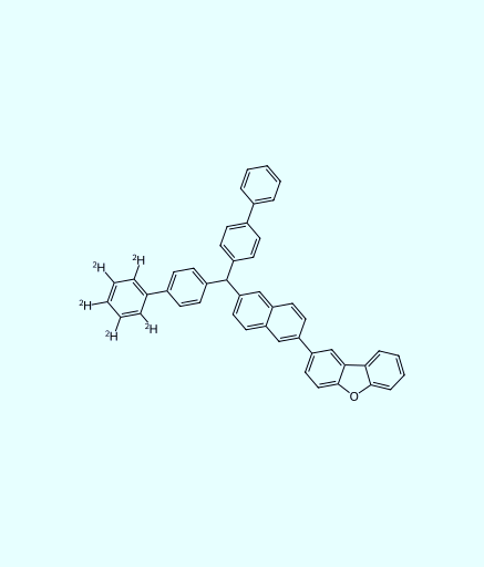 [2H]c1c([2H])c([2H])c(-c2ccc(C(c3ccc(-c4ccccc4)cc3)c3ccc4cc(-c5ccc6oc7ccccc7c6c5)ccc4c3)cc2)c([2H])c1[2H]